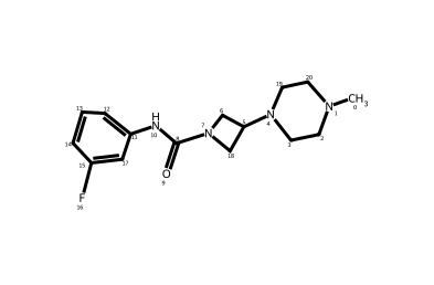 CN1CCN(C2CN(C(=O)Nc3cccc(F)c3)C2)CC1